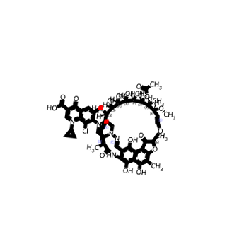 CO[C@H]1/C=C/O[C@@]2(C)Oc3c(C)c(O)c4c(O)c(c(/C=N/N5CCN(c6c(F)cc7c(=O)c(C(=O)O)cn(C8CC8)c7c6Cl)CC5)c(O)c4c3C2=O)NC(=O)/C(C)=C\C=C\[C@H](C)[C@H](O)[C@@H](C)[C@@H](O)[C@@H](C)[C@H](OC(C)=O)[C@@H]1C